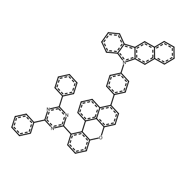 c1ccc(-c2nc(-c3ccccc3)nc(-c3cccc4c3-c3cccc5c(-c6ccc(-n7c8ccccc8c8cc9ccccc9cc87)cc6)ccc(c35)O4)n2)cc1